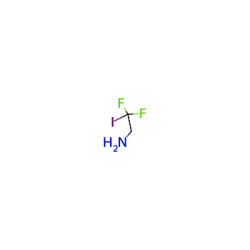 NCC(F)(F)I